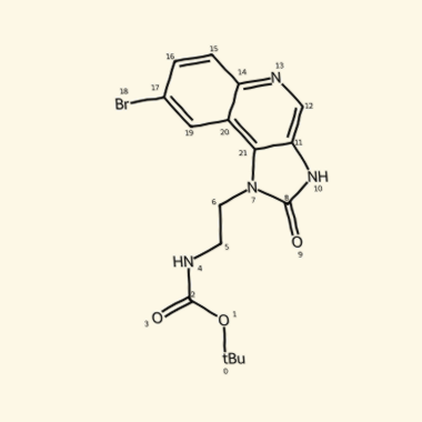 CC(C)(C)OC(=O)NCCn1c(=O)[nH]c2cnc3ccc(Br)cc3c21